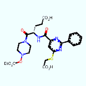 CCOC(=O)ON1CCN(C(=O)[C@H](CCC(=O)O)NC(=O)c2cc(SCC(=O)O)nc(-c3ccccc3)n2)CC1